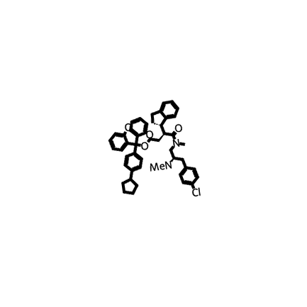 CN[C@H](Cc1ccc(Cl)cc1)CN(C)C(=O)[C@@H](CC(=O)OC(c1ccccc1)(c1ccc(C2CCCC2)cc1)c1ccccc1Cl)[C@@H]1CCc2ccccc21